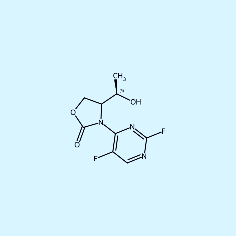 C[C@@H](O)C1COC(=O)N1c1nc(F)ncc1F